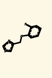 Fc1ccccc1OCc1cscn1